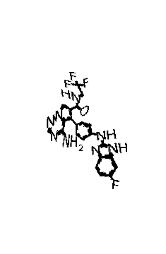 Nc1ncnn2cc(C(=O)NCC(F)(F)F)c(-c3ccc(Nc4nc5ccc(F)cc5[nH]4)cc3)c12